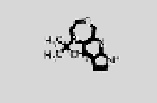 CC(C)(C)N1CCOCc2nc3[nH]ccc3cc21